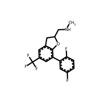 CNCC1Cc2cc(C(F)(F)F)cc(-c3cc(F)ccc3F)c2O1